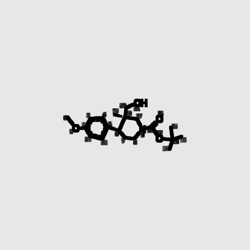 COc1ccc([C@@H]2CCN(C(=O)OC(C)(C)C)C[C@]2(C)CO)cc1